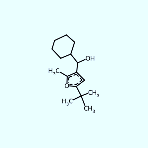 Cc1oc(C(C)(C)C)cc1C(O)C1CCCCC1